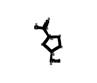 CCCCC[C@H]1CC[C@H](C(=O)Cl)C1